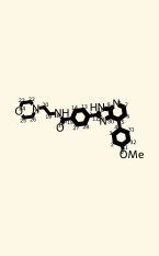 COc1ccc(-c2ccnc3[nH]c(-c4ccc(C(=O)NCCN5CCOCC5)cc4)nc23)cc1